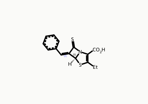 CCC1=C(C(=O)O)N2C(=S)/C(=C\c3ccccc3)[C@@H]2S1